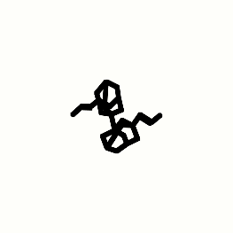 CC=CC12CC3CC(C1)CC(C14CC5CC(CC(C=CC)(C5)C1)C4)(C3)C2